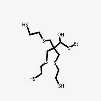 CCSC(O)C(CSCCS)(CSCCS)CSCCS